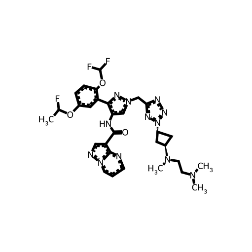 CC(F)Oc1ccc(OC(F)F)c(-c2nn(Cc3nnn([C@H]4C[C@H](N(C)CCN(C)C)C4)n3)cc2NC(=O)c2cnn3cccnc23)c1